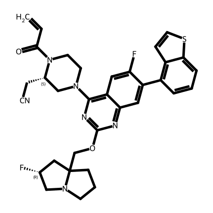 C=CC(=O)N1CCN(c2nc(OCC34CCCN3C[C@H](F)C4)nc3cc(-c4cccc5sccc45)c(F)cc23)C[C@@H]1CC#N